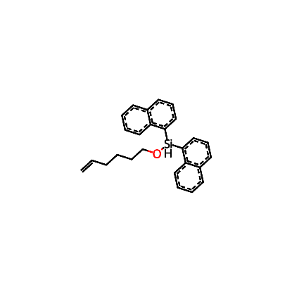 C=CCCCCO[SiH](c1cccc2ccccc12)c1cccc2ccccc12